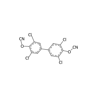 N#COc1c(Cl)cc(-c2cc(Cl)c(OC#N)c(Cl)c2)cc1Cl